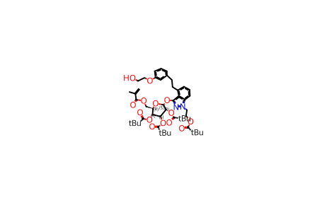 C=C(C)C(=O)OC[C@H]1O[C@@H](Oc2nn(CCOC(=O)C(C)(C)C)c3cccc(CCc4cccc(OCCO)c4)c23)[C@H](OC(=O)C(C)(C)C)[C@@H](OC(=O)C(C)(C)C)[C@@H]1OC(=O)C(C)(C)C